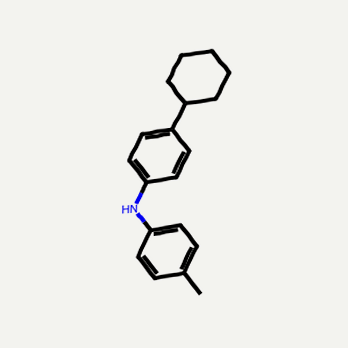 Cc1ccc(Nc2ccc(C3CCCCC3)cc2)cc1